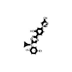 CC[C@@H]1CC[C@H](F)[C@H](N(c2cnc(-c3ccc(-n4cc(C#N)nn4)cc3O)nn2)C2CC2)C1